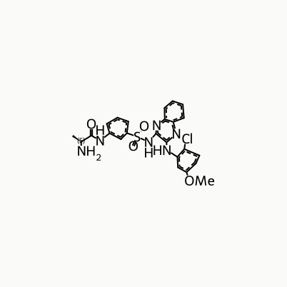 COc1ccc(Cl)c(Nc2nc3ccccc3nc2NS(=O)(=O)c2cccc(NC(=O)[C@H](C)N)c2)c1